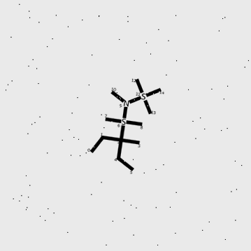 CCC(C)(CC)S(C)(C)N(C)S(C)(C)C